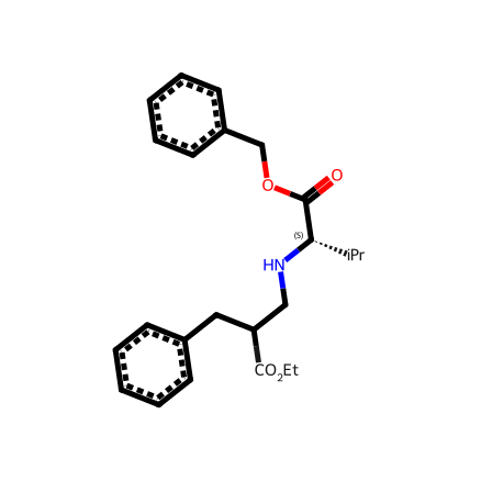 CCOC(=O)C(CN[C@H](C(=O)OCc1ccccc1)C(C)C)Cc1ccccc1